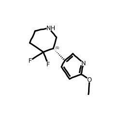 COc1ccc([C@H]2CNCCC2(F)F)cn1